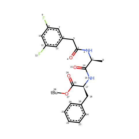 C[C@H](NC(=O)Cc1cc(F)cc(F)c1)C(=O)N[C@@H](Cc1ccccc1)C(=O)OC(C)(C)C